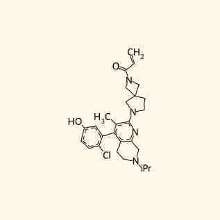 C=CC(=O)N1CC2(CCN(c3nc4c(c(-c5cc(O)ccc5Cl)c3C)CCN(C(C)C)C4)C2)C1